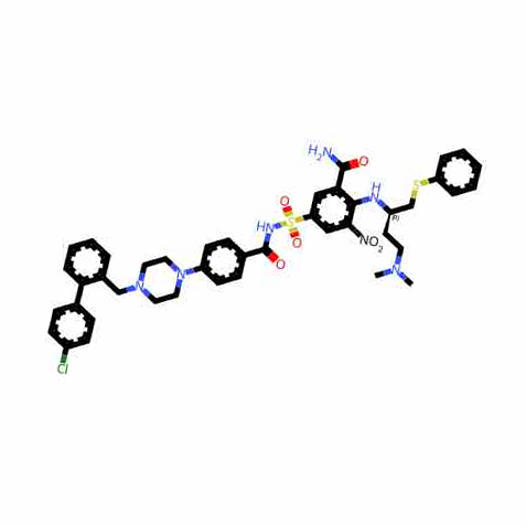 CN(C)CC[C@H](CSc1ccccc1)Nc1c(C(N)=O)cc(S(=O)(=O)NC(=O)c2ccc(N3CCN(Cc4ccccc4-c4ccc(Cl)cc4)CC3)cc2)cc1[N+](=O)[O-]